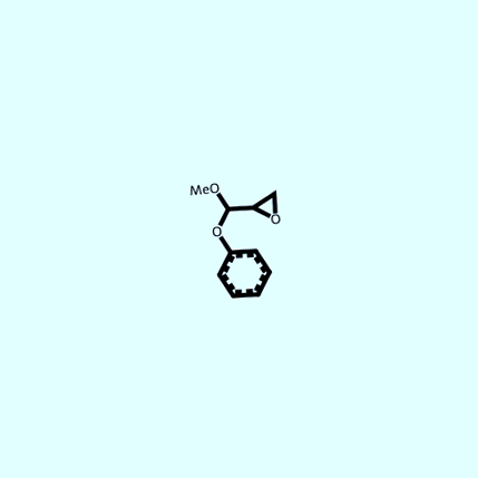 COC(Oc1ccccc1)C1CO1